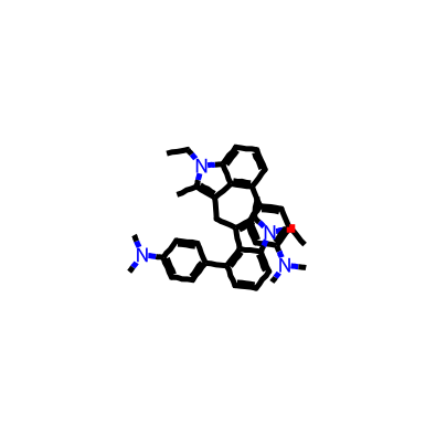 CCn1c(C)c(Cc2c(C)n(CC)c3cccc(-c4ccc(N(C)C)cc4)c23)c2c(-c3ccc(N(C)C)cc3)cccc21